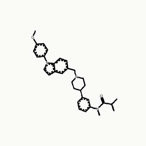 COc1ccc(-n2ccc3cc(CN4CCC(c5cccc(N(C)C(=O)C(C)C)c5)CC4)ccc32)cc1